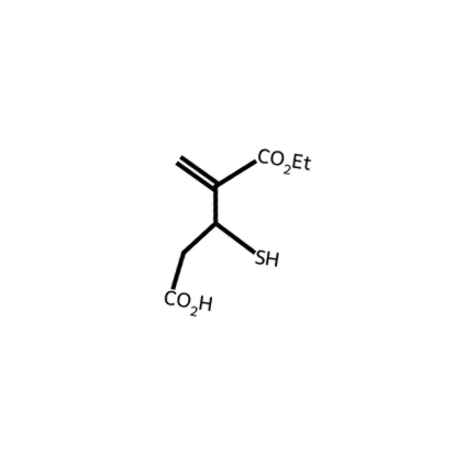 C=C(C(=O)OCC)C(S)CC(=O)O